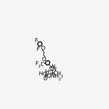 C[C@](N)(CO[PH](=O)O)c1nnc(-c2ccc(OCCCCOc3ccc(F)cc3F)c(C(F)(F)F)c2)s1